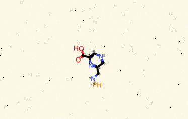 O=C(O)c1cncc(CN=P)n1